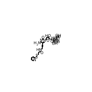 Nc1nc(=O)n([C@H]2C[C@@H](O)[C@@H](COP(=O)(O)OP(=O)(O)OP(=O)(O)O)O2)cc1C#CCNC(=O)CCSSc1ccccn1